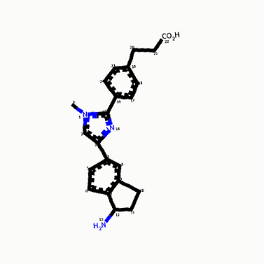 Cn1cc(-c2ccc3c(c2)CCC3N)nc1-c1ccc(CCC(=O)O)cc1